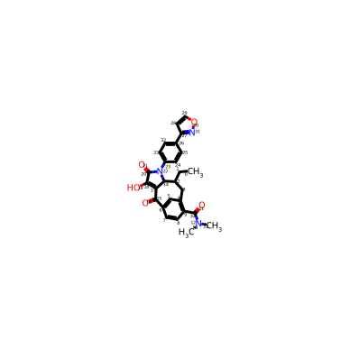 CCC1Cc2cc(ccc2C(=O)N(C)C)C(=O)C2=C(O)C(=O)N(c3ccc(-c4ccon4)cc3)C21